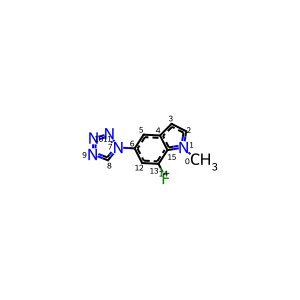 Cn1ccc2cc(-n3cnnn3)cc(F)c21